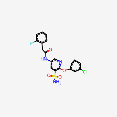 NS(=O)(=O)c1cc(NC(=O)Cc2ccccc2F)cnc1Oc1cccc(Cl)c1